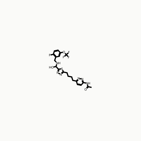 CC(=O)Nc1ccc(CCCCc2nnc(C(O)NCc3cc(OC(F)(F)F)ccc3F)s2)nn1